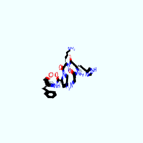 NCCCC[C@H](NC(=O)[C@H](Cc1c[nH]cn1)NC(=O)CN)C(=O)N1CCC[C@H]1C(=O)N[C@H]([C]=O)Cc1ccccc1